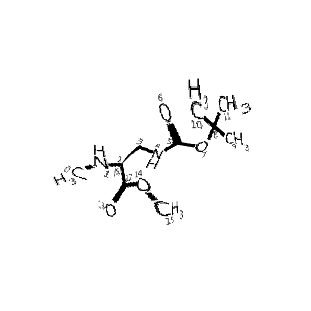 CN[C@@H](CNC(=O)OC(C)(C)C)C(=O)OC